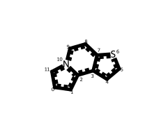 c1cc2c3ccsc3ccn2c1